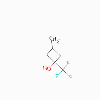 [CH2]C1CC(O)(C(F)(F)F)C1